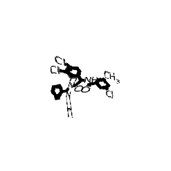 Cc1cc(Cl)cc(C(=O)NC(C(=O)NC(=N)c2ccccc2)c2ccc(Cl)c(Cl)c2)c1